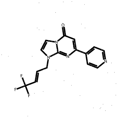 O=c1cc(-c2ccncc2)nc2n(CC=CC(F)(F)F)ccn12